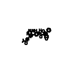 CC(C)C(=O)N1CC(N2C=C(c3ccc(NC(=O)c4c5n(n(-c6ccccc6)c4=O)CCOC5)cc3)C3C(N)=NC=NC32)C1